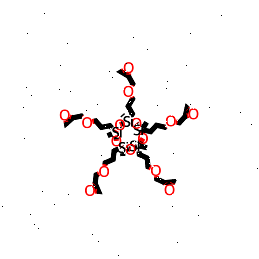 C[Si]1(CCCOCC2CO2)O[Si](C)(CCCOCC2CO2)O[Si](C)(CCCOCC2CO2)O[Si](C)(CCCOCC2CO2)O[Si](C)(CCCOCC2CO2)O1